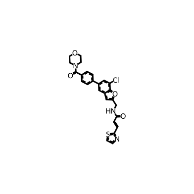 O=C(C=Cc1nccs1)NCc1cc2cc(-c3ccc(C(=O)N4CCOCC4)cc3)cc(Cl)c2o1